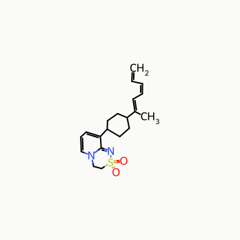 C=C/C=C\C=C(/C)C1CCC(C2=CC=CN3CCS(=O)(=O)N=C23)CC1